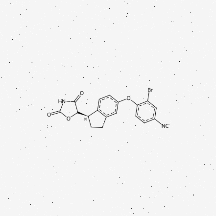 [C-]#[N+]c1ccc(Oc2ccc3c(c2)CC[C@H]3C2OC(=O)NC2=O)c(Br)c1